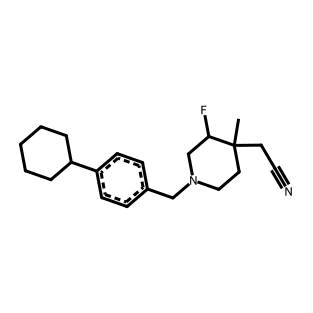 CC1(CC#N)CCN(Cc2ccc(C3CCCCC3)cc2)CC1F